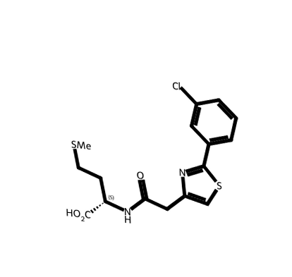 CSCC[C@H](NC(=O)Cc1csc(-c2cccc(Cl)c2)n1)C(=O)O